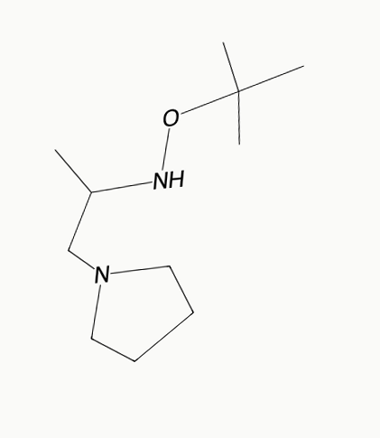 CC(CN1CCCC1)NOC(C)(C)C